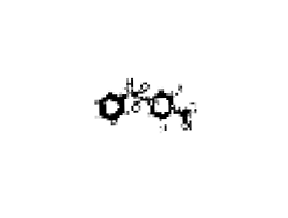 C[C@@H]1CN(S(=O)(=O)Nc2ccccc2)C[C@H](C)N1C(=O)O